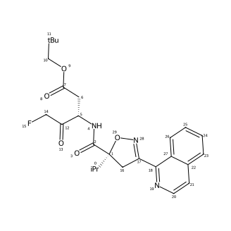 CC(C)[C@@]1(C(=O)N[C@@H](CC(=O)OCC(C)(C)C)C(=O)CF)CC(c2nccc3ccccc23)=NO1